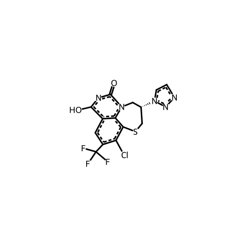 O=c1nc(O)c2cc(C(F)(F)F)c(Cl)c3c2n1C[C@H](n1ccnn1)CS3